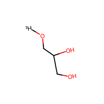 [3H]OCC(O)CO